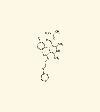 CC1=C(C(=O)OCCOc2ccccc2)C(c2cc(F)ccc2F)C(C(=O)OC(C)C)=C(C)N1